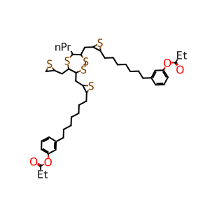 CCCC1SC(CC2CS2)C(CC2SC2CCCCCCCc2cccc(OC(=O)CC)c2)SSC1CC1SC1CCCCCCCc1cccc(OC(=O)CC)c1